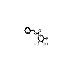 O=C(OCc1ccccc1)N1CC(O)C(O)C(F)C1